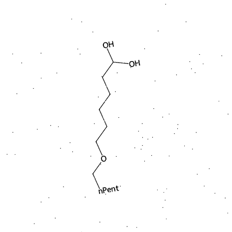 CCCCCCOCCCCCC(O)O